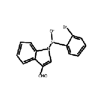 O=Cc1cn([S+]([O-])c2ccccc2Br)c2ccccc12